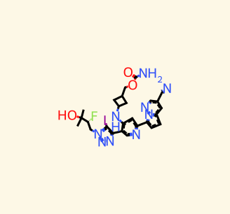 CC(C)(O)[C@H](F)Cn1nnc(-c2cnc(-c3ccc4cc(C#N)cnn34)cc2NC2CC(COC(N)=O)C2)c1I